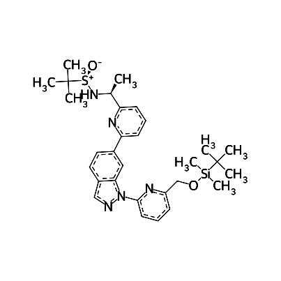 C[C@H](N[S@+]([O-])C(C)(C)C)c1cccc(-c2ccc3cnn(-c4cccc(CO[Si](C)(C)C(C)(C)C)n4)c3c2)n1